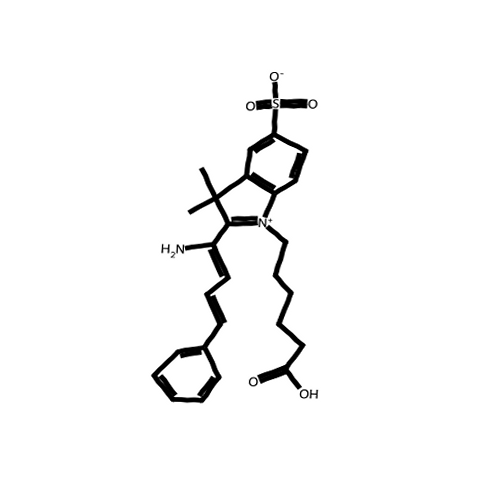 CC1(C)C(C(N)=CC=Cc2ccccc2)=[N+](CCCCCC(=O)O)c2ccc(S(=O)(=O)[O-])cc21